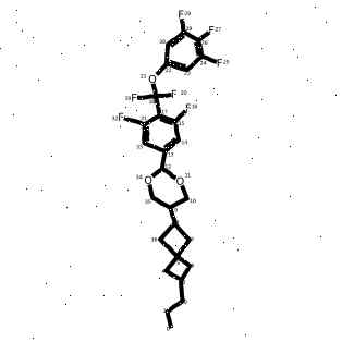 CCCC1CC2(C1)CC(C1COC(c3cc(F)c(C(F)(F)Oc4cc(F)c(F)c(F)c4)c(F)c3)OC1)C2